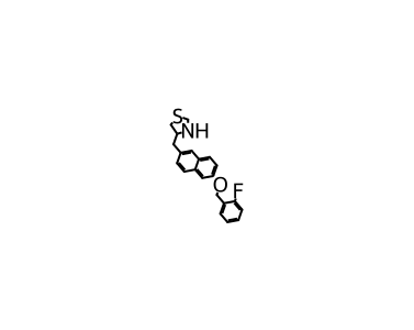 Fc1ccccc1COc1ccc2cc(CC3CSCN3)ccc2c1